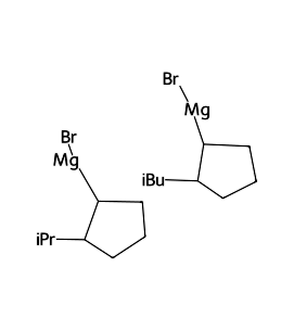 CC(C)C1CCC[CH]1[Mg][Br].CCC(C)C1CCC[CH]1[Mg][Br]